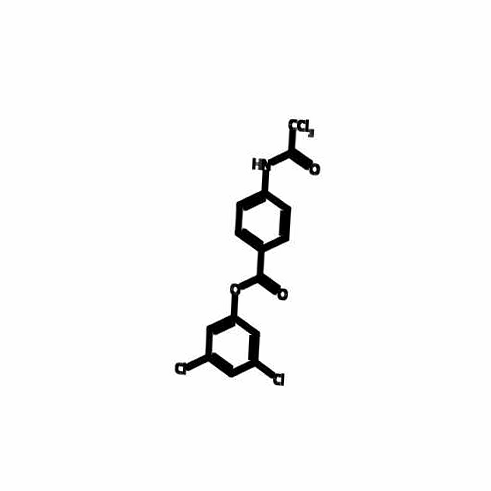 O=C(Oc1cc(Cl)cc(Cl)c1)c1ccc(NC(=O)C(Cl)(Cl)Cl)cc1